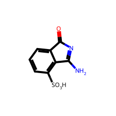 NC1=NC(=O)c2cccc(S(=O)(=O)O)c21